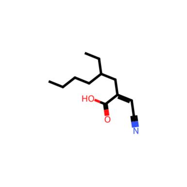 CCCCC(CC)C/C(=C/C#N)C(=O)O